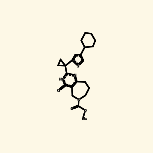 CC(C)(C)OC(=O)N1CCCc2nc(C3(c4cc(C5CCCCC5)cs4)CC3)[nH]c(=O)c2C1